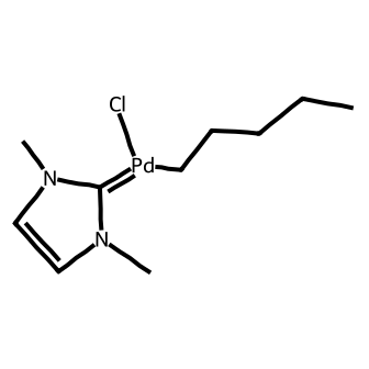 CCCC[CH2][Pd]([Cl])=[c]1n(C)ccn1C